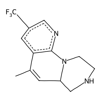 CC1=CC2CNCCN2c2ncc(C(F)(F)F)cc21